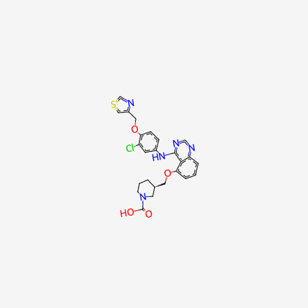 O=C(O)N1CCC[C@@H](COc2cccc3ncnc(Nc4ccc(OCc5cscn5)c(Cl)c4)c23)C1